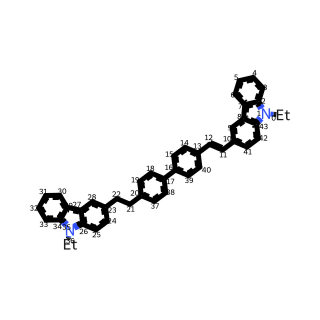 CCn1c2ccccc2c2cc(C=Cc3ccc(-c4ccc(CCc5ccc6c(c5)c5ccccc5n6CC)cc4)cc3)ccc21